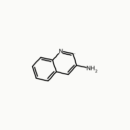 Nc1[c]nc2ccccc2c1